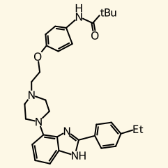 CCc1ccc(-c2nc3c(N4CCN(CCOc5ccc(NC(=O)C(C)(C)C)cc5)CC4)cccc3[nH]2)cc1